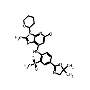 Cc1nc2c(Nc3ccc(C4=NCC(C)(C)O4)cc3S(C)(=O)=O)cc(Cl)nc2n1C1CCCCO1